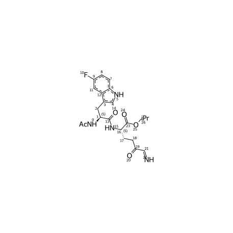 CC(=O)N[C@@H](Cc1c[nH]c2ccc(F)cc12)C(=O)N[C@@H](CCC(=O)C=N)C(=O)OC(C)C